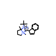 CC(C)(C)NC1(C)CCC[N+]1(C)[SiH2]C1C=Cc2ccccc21